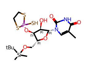 Cc1cn([C@@H]2O[C@H](CO[Si](C)(C)C(C)(C)C)[C@@H](O[P]3(S)SCCS3)[C@H]2O)c(=O)[nH]c1=O